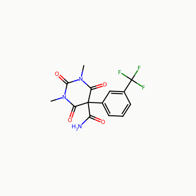 CN1C(=O)N(C)C(=O)C(C(N)=O)(c2cccc(C(F)(F)F)c2)C1=O